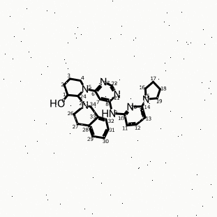 OC1CCCN(c2cc(Nc3cccc(N4CCCC4)n3)ncn2)C1N1CCc2ccccc2C1